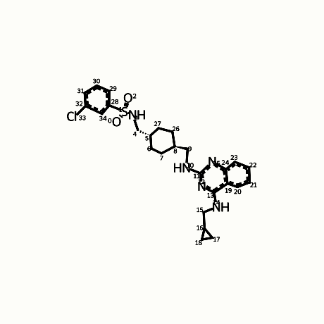 O=S(=O)(NC[C@H]1CC[C@H](CNc2nc(NCC3CC3)c3ccccc3n2)CC1)c1cccc(Cl)c1